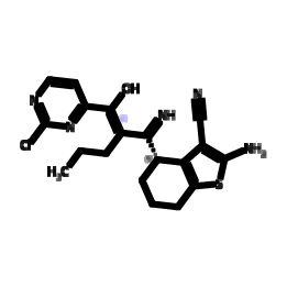 CCC/C(C(=N)[C@H]1CCCc2sc(N)c(C#N)c21)=C(/O)c1ccnc(Cl)n1